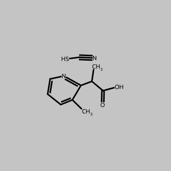 Cc1cccnc1C(C)C(=O)O.N#CS